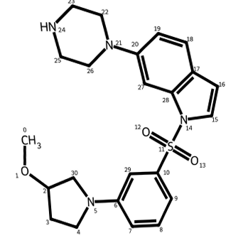 COC1CCN(c2cccc(S(=O)(=O)n3ccc4ccc(N5CCNCC5)cc43)c2)C1